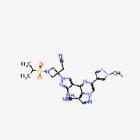 CC(C)S(=O)(=O)N1CC(CC#N)(n2cc(-c3nc(-c4cnn(C)c4)cn4ncc(C#N)c34)c(N)n2)C1